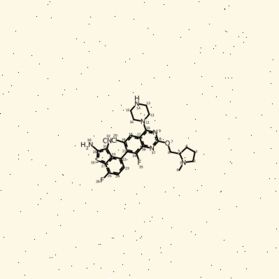 CN1CCCC1COc1nc(N2CCNCC2)c2cc(Cl)c(-c3ccc(F)c4sc(N)c(C#N)c34)c(F)c2n1